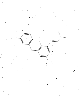 CCN(C)C=Nc1cc(C#N)cc(Cc2cccc(C#N)c2)c1C